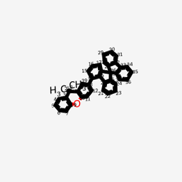 CC1(C)c2ccccc2Oc2ccc(-c3cccc4c3-c3ccccc3C43c4ccccc4-c4ccccc43)cc21